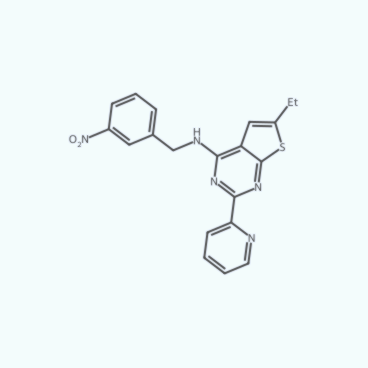 CCc1cc2c(NCc3cccc([N+](=O)[O-])c3)nc(-c3ccccn3)nc2s1